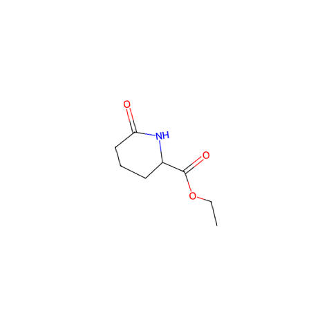 CCOC(=O)C1CCCC(=O)N1